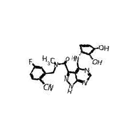 CN(Cc1cc(F)ccc1C#N)C(=O)c1n[nH]c2ncnc(N[C@@H]3C=C[C@@H](O)[C@H]3O)c12